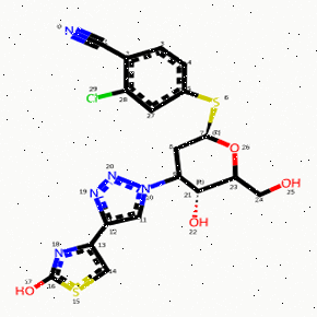 N#Cc1ccc(S[C@@H]2CC(n3cc(-c4csc(O)n4)nn3)[C@@H](O)C(CO)O2)cc1Cl